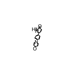 O=c1ccn(-c2ccc(-c3ccc(=O)[nH]n3)cc2)cc1